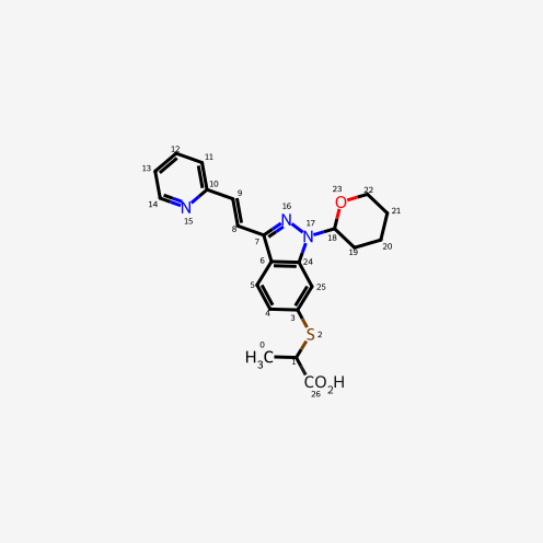 CC(Sc1ccc2c(C=Cc3ccccn3)nn(C3CCCCO3)c2c1)C(=O)O